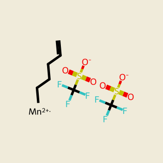 C=CCCCC.O=S(=O)([O-])C(F)(F)F.O=S(=O)([O-])C(F)(F)F.[Mn+2]